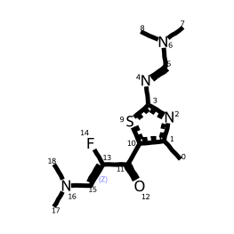 Cc1nc(N=CN(C)C)sc1C(=O)/C(F)=C/N(C)C